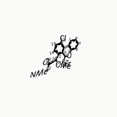 CCCC(Oc1ccccc1)c1cc(Cl)ccc1C(OC)C(=O)NC